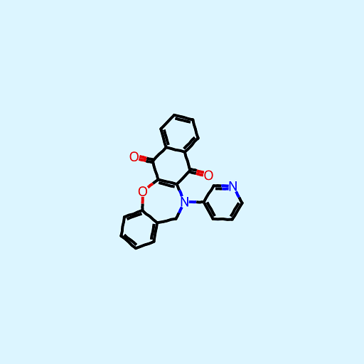 O=C1C2=C(C(=O)c3ccccc31)N(c1cccnc1)Cc1ccccc1O2